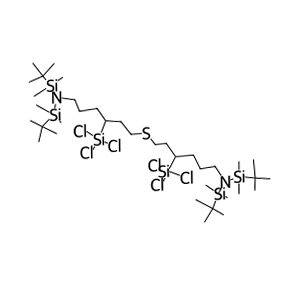 CC(C)(C)[Si](C)(C)N(CCCC(CCSCCC(CCCN([Si](C)(C)C(C)(C)C)[Si](C)(C)C(C)(C)C)[Si](Cl)(Cl)Cl)[Si](Cl)(Cl)Cl)[Si](C)(C)C(C)(C)C